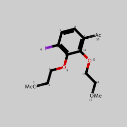 COCCOc1c(I)ccc(C(C)=O)c1OCCOC